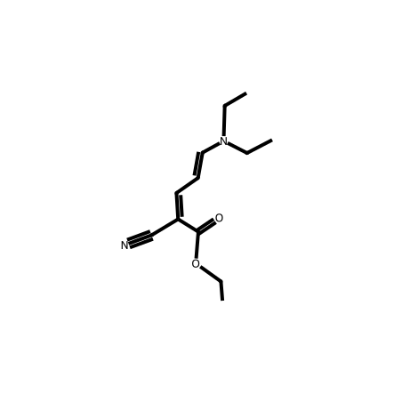 CCOC(=O)/C(C#N)=C\C=C\N(CC)CC